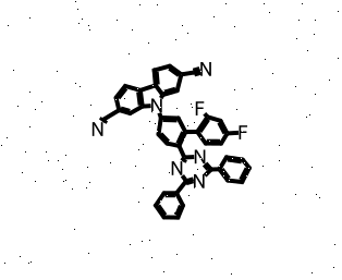 N#Cc1ccc2c3ccc(C#N)cc3n(-c3ccc(-c4nc(-c5ccccc5)nc(-c5ccccc5)n4)c(-c4ccc(F)cc4F)c3)c2c1